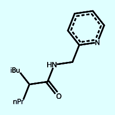 CCCC(C(=O)NCc1ccccn1)C(C)CC